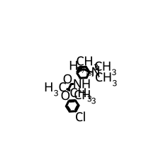 Cc1cc(Cl)ccc1OC(C)(C)C(=O)NC1C[C@@]2(N(C)C)CC=C1[C@H](C)C2